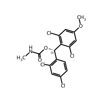 CNC(=O)O[C@@H](c1ccc(Cl)cc1Cl)c1c(Cl)cc(OC)cc1Cl